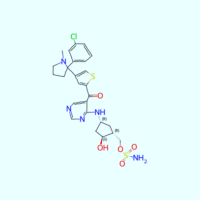 CN1CCCC1(c1cccc(Cl)c1)c1csc(C(=O)c2cncnc2N[C@@H]2C[C@H](COS(N)(=O)=O)[C@@H](O)C2)c1